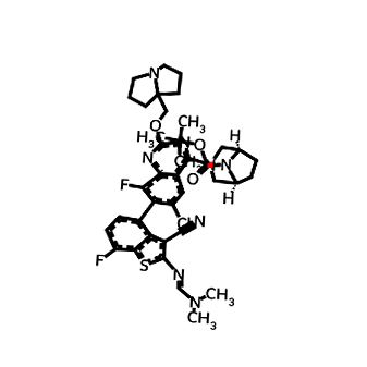 CN(C)/C=N/c1sc2c(F)ccc(-c3c(Cl)cc4c(N5C[C@H]6CC[C@@H](C5)N6C(=O)OC(C)(C)C)nc(OCC56CCCN5CCC6)nc4c3F)c2c1C#N